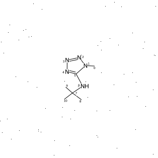 Cn1nnnc1NC(C)(C)C